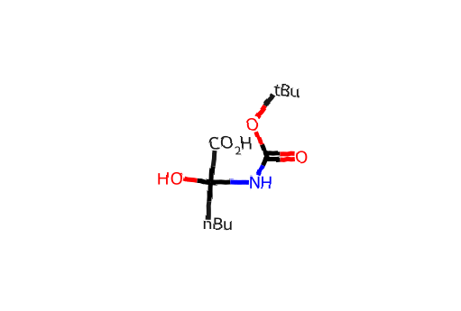 CCCCC(O)(NC(=O)OC(C)(C)C)C(=O)O